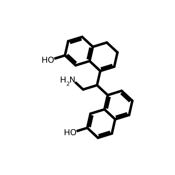 NCC(C1=CCCc2ccc(O)cc21)c1cccc2ccc(O)cc12